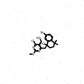 CSc1nc(Cl)c(CO)c(CC2(O)CCC(C)(C)c3ccc(Br)cc32)n1